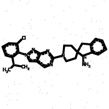 CC(C)c1cccc(Cl)c1-n1cc2cnc(N3CCC4(CC3)Cc3ccccc3[C@H]4N)nc2n1